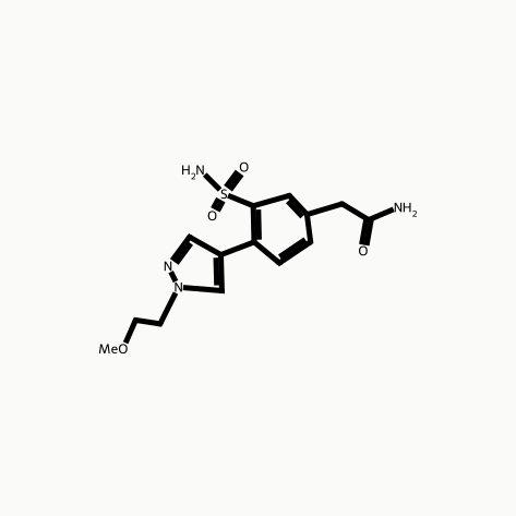 COCCn1cc(-c2ccc(CC(N)=O)cc2S(N)(=O)=O)cn1